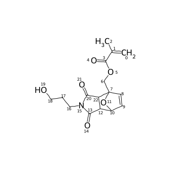 C=C(C)C(=O)OCC12C=CC(O1)C1C(=O)N(CCCO)C(=O)C12